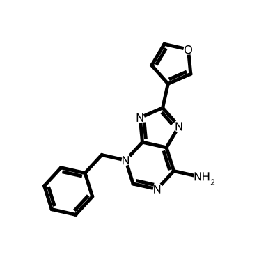 Nc1ncn(Cc2ccccc2)c2nc(-c3ccoc3)nc1-2